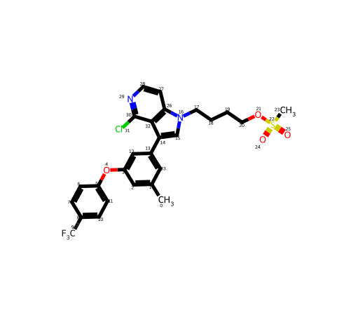 Cc1cc(Oc2ccc(C(F)(F)F)cc2)cc(-c2cn(CCCCOS(C)(=O)=O)c3ccnc(Cl)c23)c1